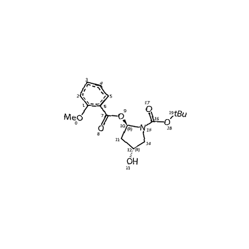 COc1ccccc1C(=O)O[C@@H]1C[C@@H](O)CN1C(=O)OC(C)(C)C